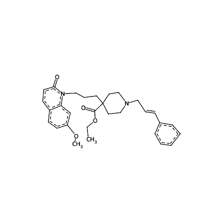 CCOC(=O)C1(CCCn2c(=O)ccc3ccc(OC)cc32)CCN(CC=Cc2ccccc2)CC1